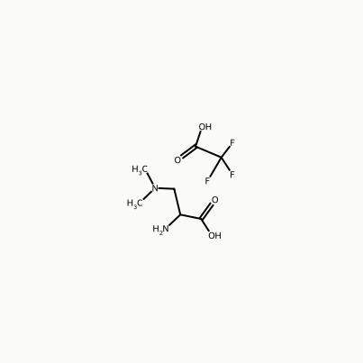 CN(C)CC(N)C(=O)O.O=C(O)C(F)(F)F